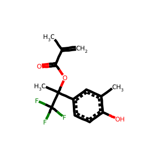 C=C(C)C(=O)OC(C)(c1ccc(O)c(C)c1)C(F)(F)F